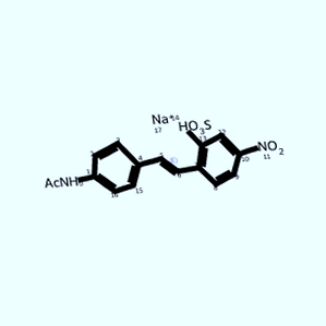 CC(=O)Nc1ccc(/C=C/c2ccc([N+](=O)[O-])cc2S(=O)(=O)O)cc1.[Na+]